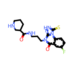 O=C(NCCCn1c(=O)c2cc(F)ccc2n2c(=S)[nH]nc12)C1CCCNC1